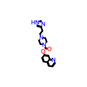 O=C(Oc1ccc2cccnc2c1)N1CCN(CCc2c[nH]cn2)CC1